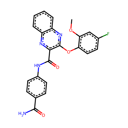 COc1cc(F)ccc1Oc1nc2ccccc2nc1C(=O)Nc1ccc(C(N)=O)cc1